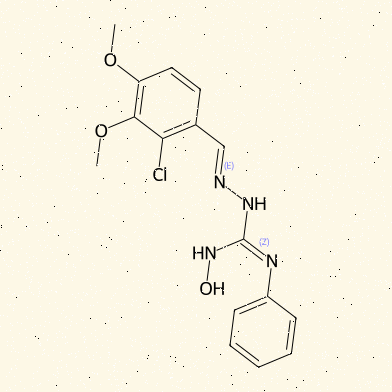 COc1ccc(/C=N/N/C(=N/c2ccccc2)NO)c(Cl)c1OC